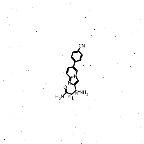 C[C@@H](C(N)=O)[C@H](N)c1cn2cc(-c3ccc(C#N)cc3)ccc2n1